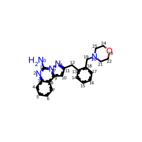 Nc1nc2ccccc2c2cc(Cc3ccccc3CN3CCOCC3)nn12